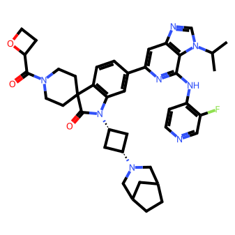 CC(C)n1cnc2cc(-c3ccc4c(c3)N([C@H]3C[C@@H](N5CC6CCC(C6)C5)C3)C(=O)C43CCN(C(=O)C4CCO4)CC3)nc(Nc3ccncc3F)c21